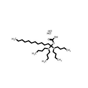 CCCCCCCCCCCC(OC(=O)O)(N(CCCC)CCCC)N(CCCC)CCCC.Cl.Cl